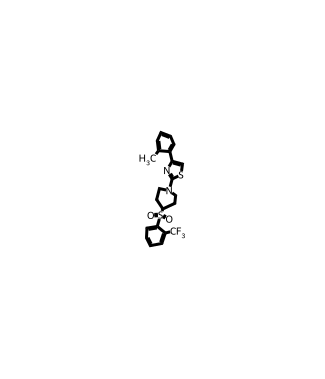 Cc1ccccc1-c1csc(N2CCC(S(=O)(=O)c3ccccc3C(F)(F)F)CC2)n1